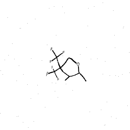 CC1OCC(C(F)(F)F)(C(F)(F)F)C1C